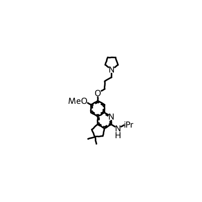 COc1cc2c3c(c(NC(C)C)nc2cc1OCCCN1CCCC1)CC(C)(C)C3